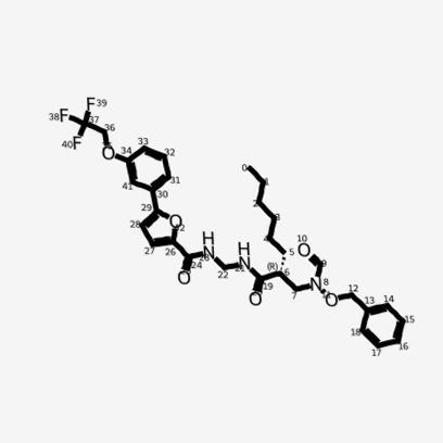 CCCCCC[C@H](CN(C=O)OCc1ccccc1)C(=O)NCNC(=O)c1ccc(-c2cccc(OCC(F)(F)F)c2)o1